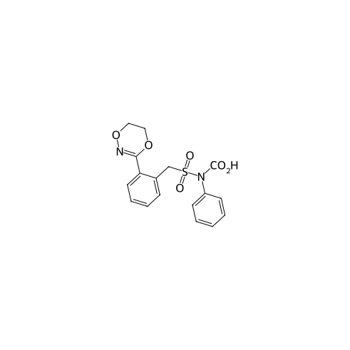 O=C(O)N(c1ccccc1)S(=O)(=O)Cc1ccccc1C1=NOCCO1